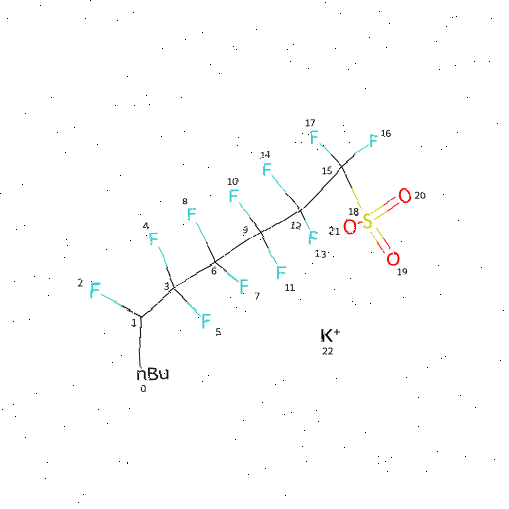 CCCCC(F)C(F)(F)C(F)(F)C(F)(F)C(F)(F)C(F)(F)S(=O)(=O)[O-].[K+]